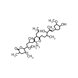 C=CCC(C=C(C)CC(C)CC(OC)C1OC(=O)C(C)CC1OC)C(=O)CCC(C)C(O)C(C)=CC1CCC(O)C(OC)C1